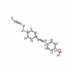 CC#CCCc1ccc(C#Cc2ccc(OC)cc2)cc1